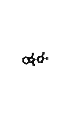 O=c1n(-c2ccc(Cl)c(Cl)c2)c(=O)n2n1CCCC2